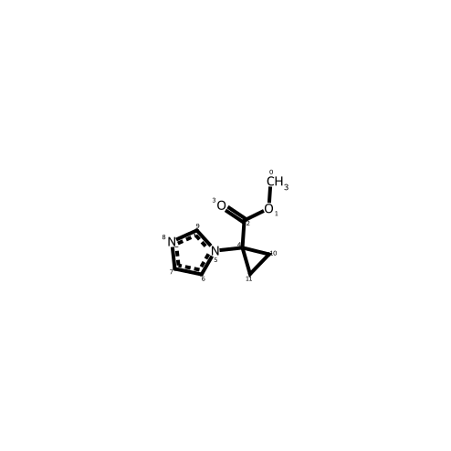 COC(=O)C1(n2ccnc2)CC1